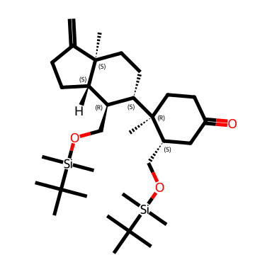 C=C1CC[C@H]2[C@H](CO[Si](C)(C)C(C)(C)C)[C@@H]([C@@]3(C)CCC(=O)C[C@@H]3CO[Si](C)(C)C(C)(C)C)CC[C@]12C